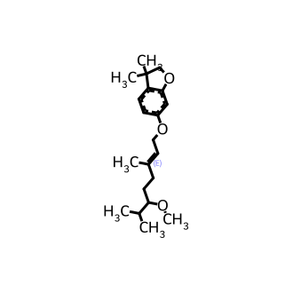 COC(CC/C(C)=C/COc1ccc2c(c1)OCC2(C)C)C(C)C